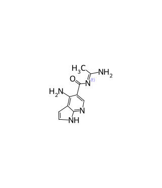 C/C(N)=N\C(=O)c1cnc2[nH]ccc2c1N